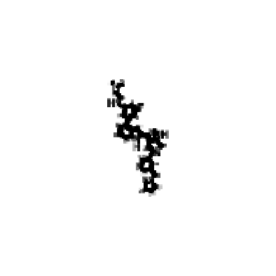 CN(C)CCNc1cc(F)cc(-c2cccc3[nH]c(-c4n[nH]c5cnc(-c6cncc(CN7CCCC7)c6)cc45)cc23)c1